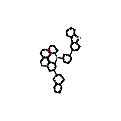 C1=CC(c2ccccc2N(c2cccc(-c3ccc4oc5ccccc5c4c3)c2)c2cc(-c3ccc4ccccc4c3)ccc2-c2ccccc2)=CCC1